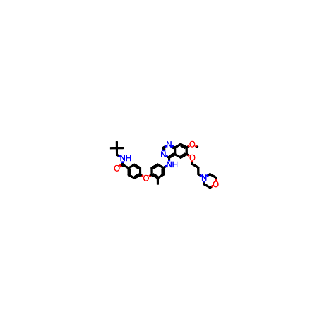 COc1cc2ncnc(Nc3ccc(Oc4ccc(C(=O)NCC(C)(C)C)cc4)c(C)c3)c2cc1OCCCN1CCOCC1